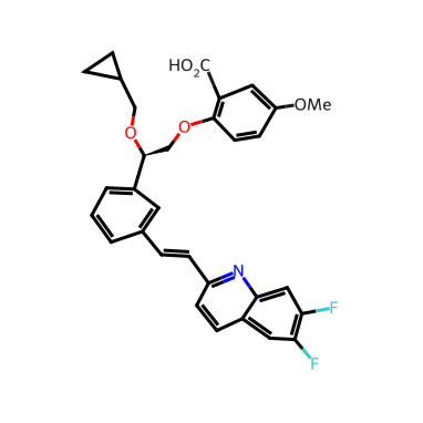 COc1ccc(OC[C@H](OCC2CC2)c2cccc(/C=C/c3ccc4cc(F)c(F)cc4n3)c2)c(C(=O)O)c1